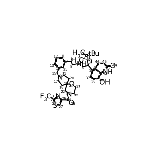 CC(C)(C)[Si](C)(C)OC(CNCCc1cccc(CN2CCC3(CC2)CN(C(=O)c2csc(C(F)(F)F)n2)CCO3)c1)c1ccc(O)c2[nH]c(=O)ccc12